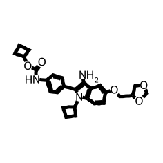 Nc1c(-c2ccc(NC(=O)OC3CCC3)cc2)n(C2CCC2)c2ccc(OCC3COCO3)cc12